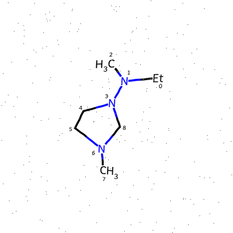 CCN(C)N1CCN(C)C1